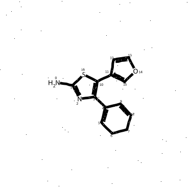 Nc1nc(C2=CCCC=C2)c(-c2ccoc2)s1